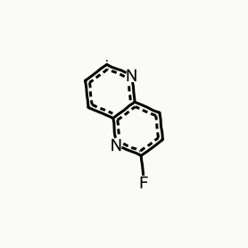 Fc1ccc2n[c]ccc2n1